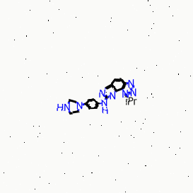 CC(C)n1nnc2ccc3cnc(Nc4ccc(N5CCNCC5)cc4)nc3c21